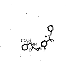 O=C(NCc1ccccc1)c1ccc([C@@H]2CC2C(=O)N[C@H](C(=O)O)C2CCCCC2)c(F)c1